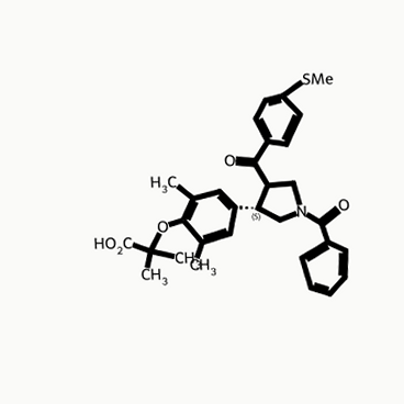 CSc1ccc(C(=O)C2CN(C(=O)c3ccccc3)C[C@@H]2c2cc(C)c(OC(C)(C)C(=O)O)c(C)c2)cc1